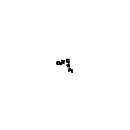 [C].[Co].[N].[Pt].[S]